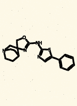 c1ccc(-c2cnc(NC3=NC4(CO3)CN3CCC4CC3)s2)cc1